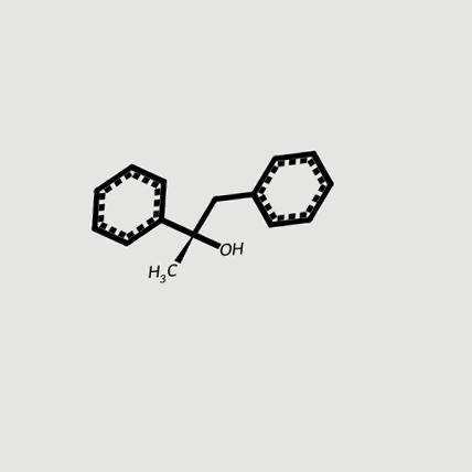 C[C@](O)(Cc1ccccc1)c1ccccc1